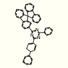 C1=CC(c2ccccc2)CC=C1c1nc(-c2ccccc2)nc(-c2ccc3c(c2)C2(c4ccccc4-c4ccccc42)c2ccccc2-3)n1